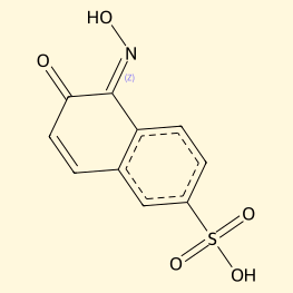 O=C1C=Cc2cc(S(=O)(=O)O)ccc2/C1=N/O